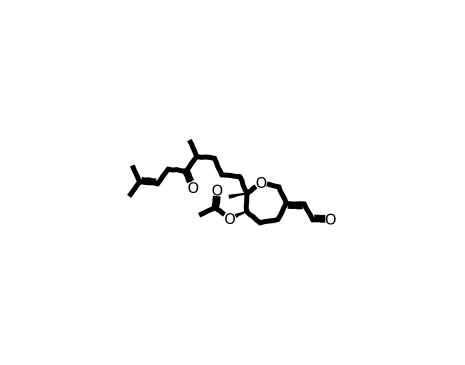 CC(=O)O[C@@H]1CCC(=CC=O)CO[C@@]1(C)CCCC(C)C(=O)CC=C(C)C